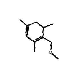 COCC1=C(C)C=C(C)CC1C